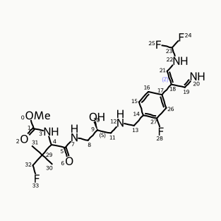 COC(=O)NC(C(=O)NC[C@@H](O)CNCc1ccc(/C(C=N)=C/NC(F)F)cc1F)C(C)(C)CF